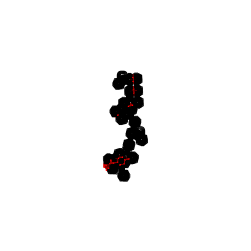 c1ccc(-c2ccc(-c3ccccc3N(c3ccc(-c4ccc(-c5cccc(N6c7ccccc7C7(c8ccccc8-c8ccc(N(c9ccc(-c%10cccc%11oc%12ccccc%12c%10%11)cc9)c9ccccc9-c9ccc(-c%10ccccc%10)cc9)cc87)c7ccccc76)c5)c5oc6ccccc6c45)cc3)c3ccc4c(c3)C3(c5ccccc5-4)c4ccccc4N(c4ccccc4)c4ccccc43)cc2)cc1